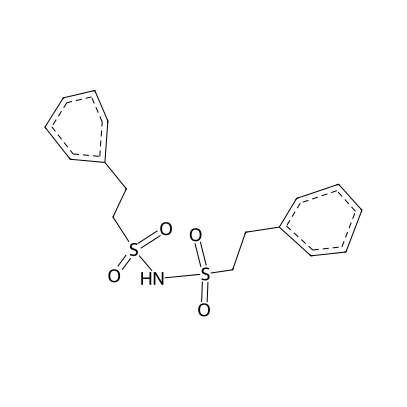 O=S(=O)(CCc1ccccc1)NS(=O)(=O)CCc1ccccc1